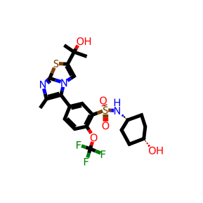 Cc1nc2sc(C(C)(C)O)cn2c1-c1ccc(OC(F)(F)F)c(S(=O)(=O)N[C@H]2CC[C@@H](O)CC2)c1